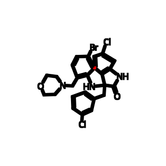 O=C1Nc2cc(Cl)ccc2C1(Cc1cccc(Cl)c1)Nc1cc(Br)ccc1CN1CCOCC1